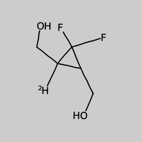 [2H]C1(CO)C(CO)C1(F)F